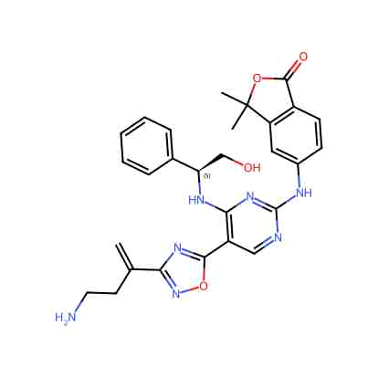 C=C(CCN)c1noc(-c2cnc(Nc3ccc4c(c3)C(C)(C)OC4=O)nc2N[C@H](CO)c2ccccc2)n1